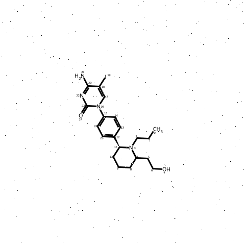 CCCN1C(CCO)CCC[C@H]1c1ccc(-n2cc(I)c(N)nc2=O)cc1